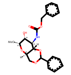 CO[C@H]1O[C@@H]2COC(c3ccccc3)O[C@H]2[C@H](NC(=O)OCc2ccccc2)[C@H]1O